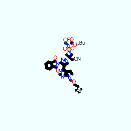 CC(C)(C)OC(=O)N(CC(F)(F)F)S(=O)(=O)N1CC(CC#N)(n2cc(-c3ncnc4c3ccn4COCC[Si](C)(C)C)c(N3C(=O)c4ccccc4C3=O)n2)C1